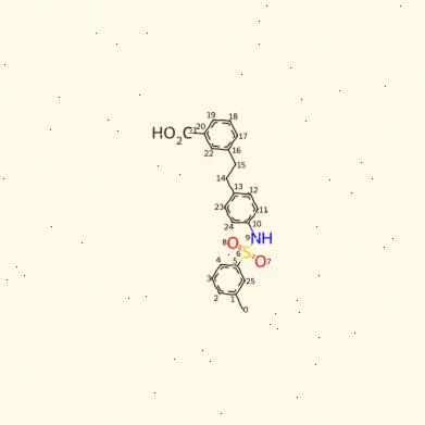 Cc1cccc(S(=O)(=O)Nc2ccc(CCc3cccc(C(=O)O)c3)cc2)c1